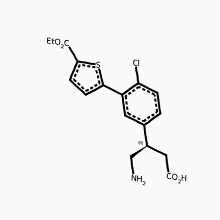 CCOC(=O)c1ccc(-c2cc([C@H](CN)CC(=O)O)ccc2Cl)s1